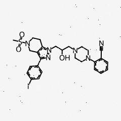 CS(=O)(=O)N1CCc2c(c(-c3ccc(I)cc3)nn2CC(O)CN2CCN(c3ccccc3C#N)CC2)C1